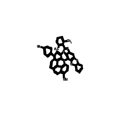 Cc1cccc(C)c1-c1nc2cc3c(c4c2n1-c1cc(-c2ccc(C(C)(C)C)cc2)c2ccc5ccc6c(C(C)(C)C)ccc7c6c5c2c1B74)Oc1ccccc1O3